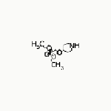 CCOP(=O)(COC1CCNCC1)OCC